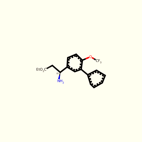 CCOC(=O)C[C@H](N)c1ccc(OC(F)(F)F)c(-c2ccccc2)c1